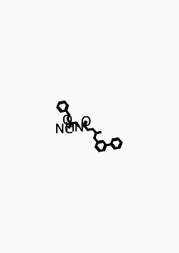 CC(CCC(=O)NCC(C#N)OCc1ccccc1)Cc1cccc(-c2ccccc2)c1